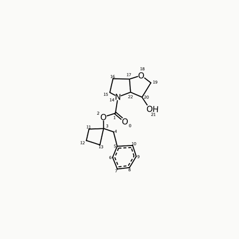 O=C(OC1(Cc2ccccc2)CCC1)N1CCC2OCC(O)C21